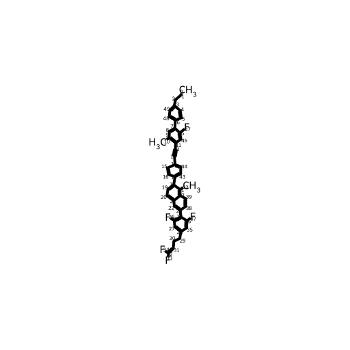 CCCc1ccc(-c2cc(C)c(C#Cc3ccc(-c4ccc5cc(-c6c(F)cc(CCC=C(F)F)cc6F)ccc5c4C)cc3)cc2F)cc1